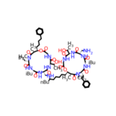 CCCCC(CCCCC[C@H]1OC(=O)CNC(=O)[C@H]([C@H](C)O)NC(=O)[C@H](CN)NC(=O)[C@H]([C@H](C)CC)NC(=O)[C@H](CCc2ccccc2)N(C)C(=O)[C@@H]1C)NC[C@@H]1NC(=O)[C@H]([C@H](C)CC)NC(=O)[C@H](CC(C)C)N(C)C(=O)[C@H](C)[C@@H](CCCCc2ccccc2)OC(=O)CNC(=O)[C@H]([C@H](C)O)NC1=O